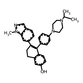 CC(C)N1CCN(c2ccc(C3=C(c4ccc5cnn(C)c5c4)CCc4cc(O)ccc43)cc2)CC1